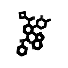 CC1CCC(c2c(C(=O)C3CCC3)ccc(C(=O)Nc3ccccn3)c2-c2ncn3ccncc23)CN1